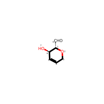 O=C[C@@H]1OCC=C[C@H]1O